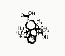 CC(C)(C)C12CCN(C(=O)O)CCC1(C(C)(C)C)N(C(=O)O)c1cccc(Br)c12